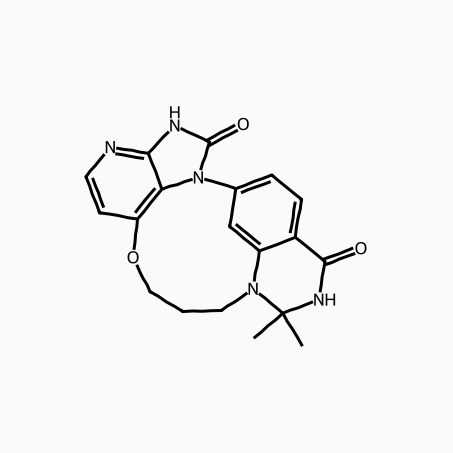 CC1(C)NC(=O)c2ccc3cc2N1CCCOc1ccnc2[nH]c(=O)n-3c12